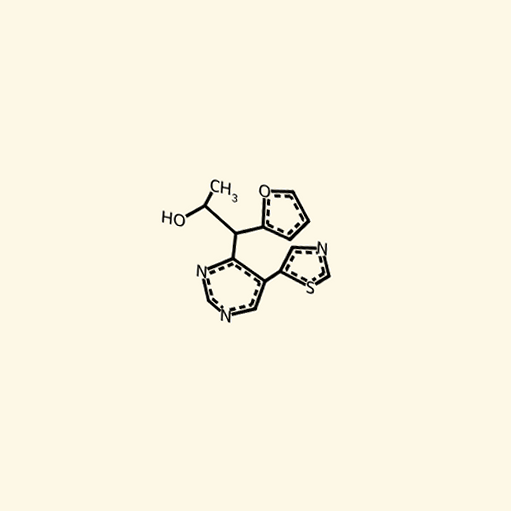 CC(O)C(c1ccco1)c1ncncc1-c1cncs1